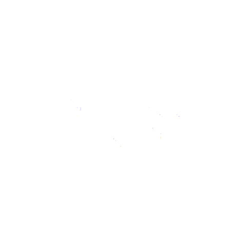 C#Cc1cccc(F)c1NC(=O)c1cc2c(s1)-c1ccccc1N(C(=O)c1ccc(NC(=O)c3cc(C)cnc3N3CC4(CCOCC4)C3)cc1)CC2